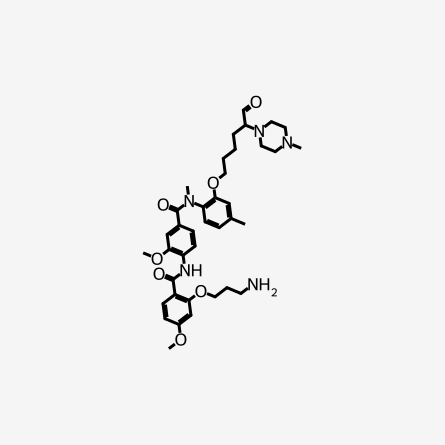 COc1ccc(C(=O)Nc2ccc(C(=O)N(C)c3ccc(C)cc3OCCCCC(C=O)N3CCN(C)CC3)cc2OC)c(OCCCN)c1